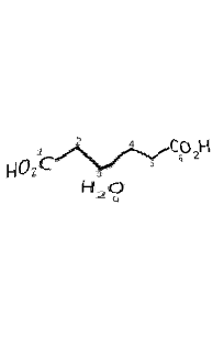 O.O=C(O)CCCCC(=O)O